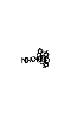 Cc1ccc2c(c1)C(OC(=O)N1CCC(N3CCN(C)CC3)CC1)(c1ccccc1C)C(=O)N2S(=O)(=O)c1cccs1